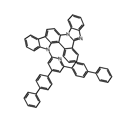 c1ccc(-c2ccc(-c3cc(-c4ccc(-c5ccccc5)cc4)nc(-n4c5ccccc5c5ccc6c(c7ccccc7c7nc8ccccc8n67)c54)c3)cc2)cc1